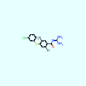 CCc1cc(Sc2cccc(Cl)c2)c([N+](=O)[O-])cc1C(=O)N=C(N)N